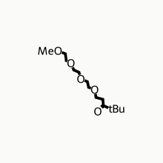 COCCOCCOCCOCCC(=O)C(C)(C)C